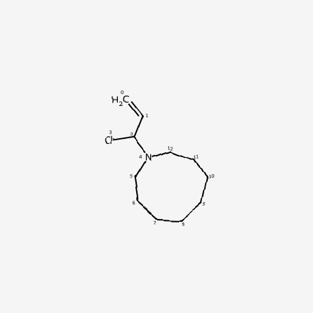 C=CC(Cl)N1CCCCCCCC1